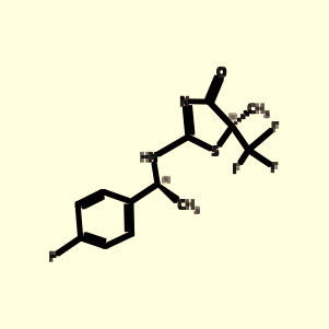 C[C@H](NC1=NC(=O)[C@@](C)(C(F)(F)F)S1)c1ccc(F)cc1